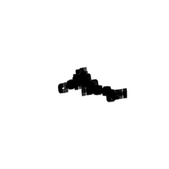 O=C(O)CC1CCC(c2ccc(NC(=O)CCNC(=O)c3cn(-c4ccc(Cl)cc4)nc3C(F)(F)F)cc2)CC1